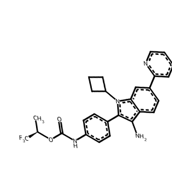 C[C@@H](OC(=O)Nc1ccc(-c2c(N)c3ccc(-c4ccccn4)cc3n2C2CCC2)cc1)C(F)(F)F